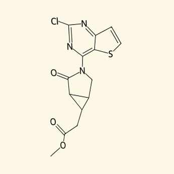 COC(=O)CC1C2CN(c3nc(Cl)nc4ccsc34)C(=O)C12